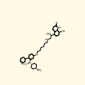 N[C@H]1CC[C@H](N(C(=O)O)c2cc(OCCCCCCNCC(O)c3ccc(O)c4[nH]c(=O)ccc34)ccc2-c2ccccc2)CC1